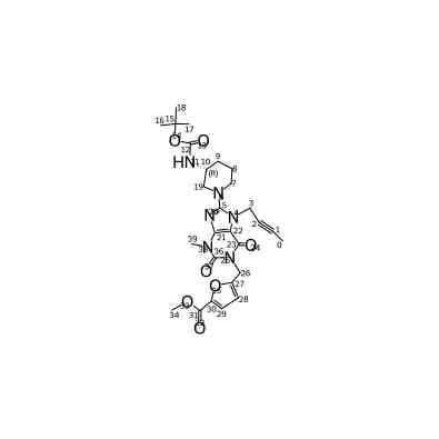 CC#CCn1c(N2CCC[C@@H](NC(=O)OC(C)(C)C)C2)nc2c1c(=O)n(Cc1ccc(C(=O)OC)o1)c(=O)n2C